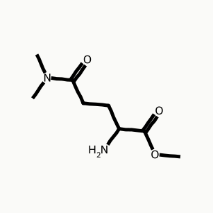 COC(=O)C(N)CCC(=O)N(C)C